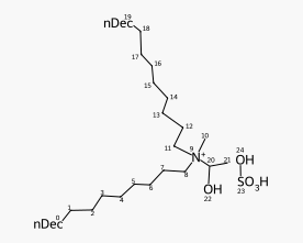 CCCCCCCCCCCCCCCCCC[N+](C)(CCCCCCCCCCCCCCCCCC)C(C)O.O=S(=O)(O)O